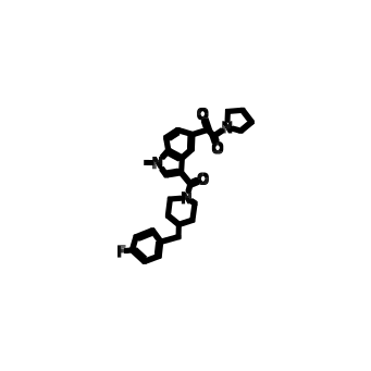 Cn1cc(C(=O)N2CCC(Cc3ccc(F)cc3)CC2)c2cc(C(=O)C(=O)N3CCCC3)ccc21